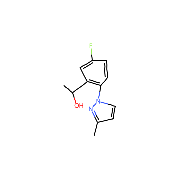 Cc1ccn(-c2ccc(F)cc2C(C)O)n1